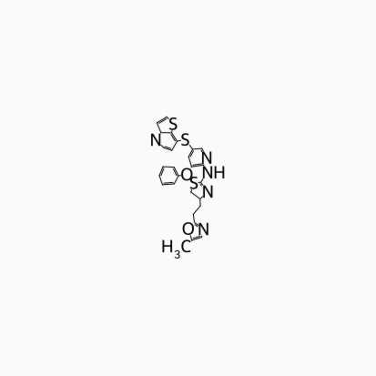 Cc1cnc(CCC2CSC(Nc3ncc(Sc4ccnc5ccsc45)cc3Oc3ccccc3)=N2)o1